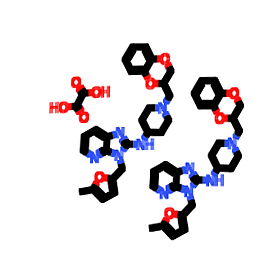 Cc1ccc(Cn2c(NC3CCN(CC4COc5ccccc5O4)CC3)nc3cccnc32)o1.Cc1ccc(Cn2c(NC3CCN(CC4COc5ccccc5O4)CC3)nc3cccnc32)o1.O=C(O)C(=O)O